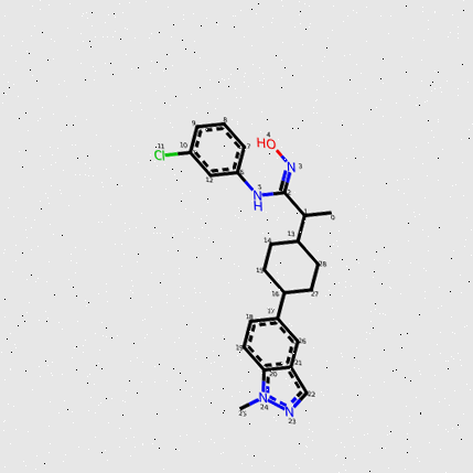 CC(/C(=N/O)Nc1cccc(Cl)c1)C1CCC(c2ccc3c(cnn3C)c2)CC1